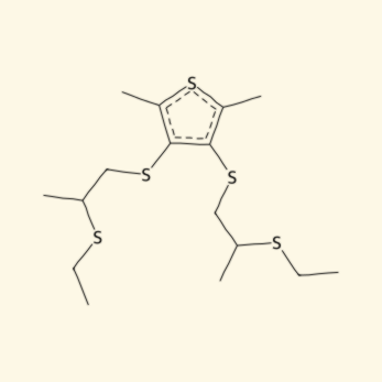 CCSC(C)CSc1c(C)sc(C)c1SCC(C)SCC